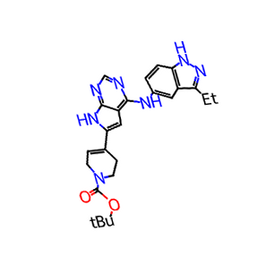 CCc1n[nH]c2ccc(Nc3ncnc4[nH]c(C5=CCN(C(=O)OC(C)(C)C)CC5)cc34)cc12